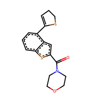 O=C(c1cc2c(C3=CCCS3)cccc2s1)N1CCOCC1